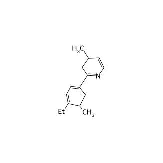 CCC1=CC=C(C2=NC=CC(C)C2)CC1C